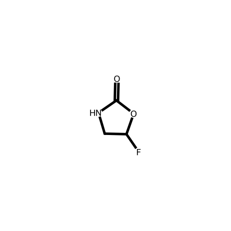 O=C1NCC(F)O1